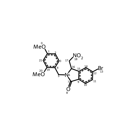 COc1ccc(CN2C(=O)c3ccc(Br)cc3C2C[N+](=O)[O-])c(OC)c1